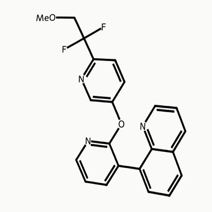 COCC(F)(F)c1ccc(Oc2ncccc2-c2cccc3cccnc23)cn1